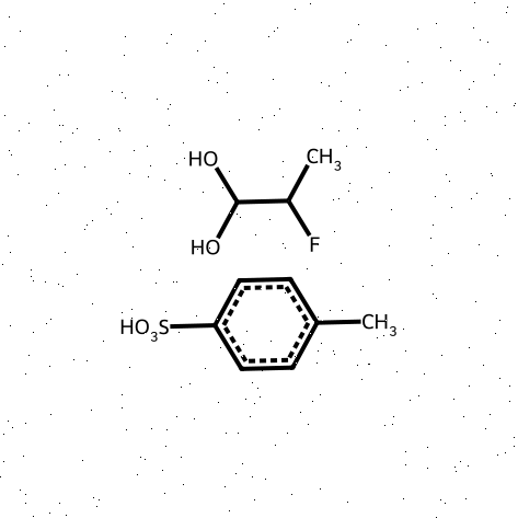 CC(F)C(O)O.Cc1ccc(S(=O)(=O)O)cc1